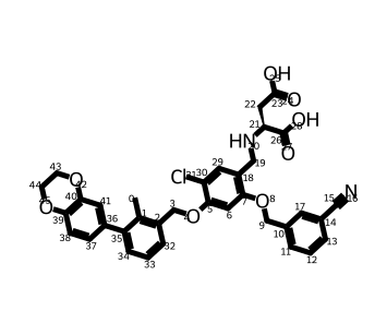 Cc1c(COc2cc(OCc3cccc(C#N)c3)c(CN[C@@H](CC(=O)O)C(=O)O)cc2Cl)cccc1-c1ccc2c(c1)OCCO2